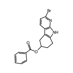 O=C(OC1CCc2[nH]c3nc(Br)ccc3c2C1)c1ccccc1